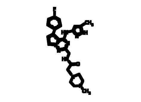 Cc1cc(Nc2nc(CNC(=O)CN3CCN(C)CC3)nn3ccc(-c4ccc(F)cc4)c23)n[nH]1